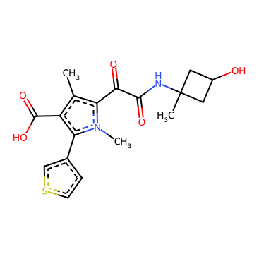 Cc1c(C(=O)O)c(-c2ccsc2)n(C)c1C(=O)C(=O)NC1(C)CC(O)C1